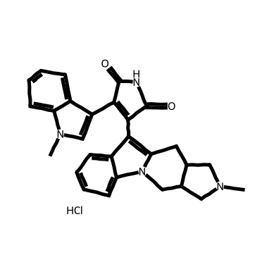 CN1CC2Cc3c(C4=C(c5cn(C)c6ccccc56)C(=O)NC4=O)c4ccccc4n3CC2C1.Cl